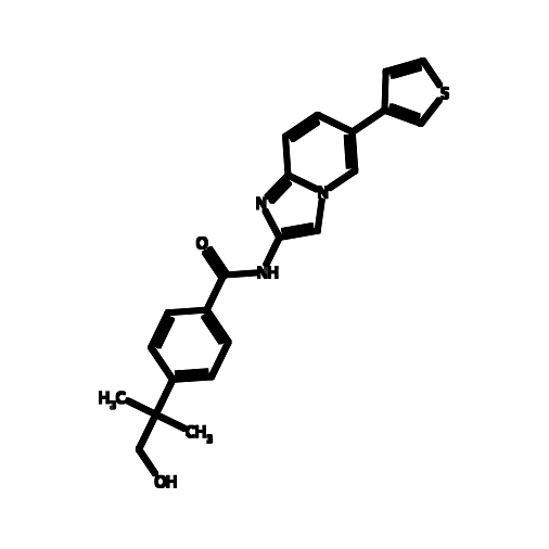 CC(C)(CO)c1ccc(C(=O)Nc2cn3cc(-c4ccsc4)ccc3n2)cc1